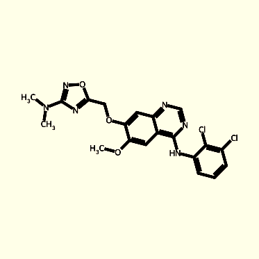 COc1cc2c(Nc3cccc(Cl)c3Cl)ncnc2cc1OCc1nc(N(C)C)no1